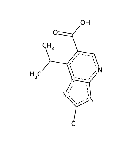 CC(C)c1c(C(=O)O)cnc2nc(Cl)nn12